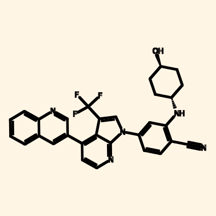 N#Cc1ccc(-n2cc(C(F)(F)F)c3c(-c4cnc5ccccc5c4)ccnc32)cc1N[C@H]1CC[C@H](O)CC1